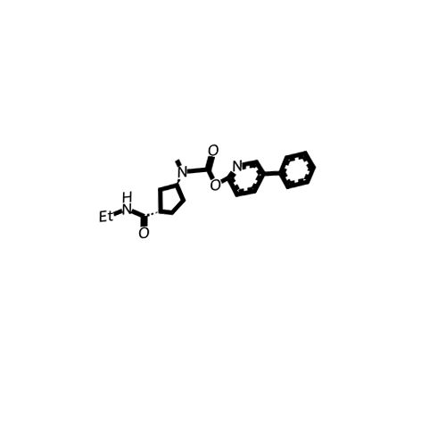 CCNC(=O)[C@H]1CC[C@@H](N(C)C(=O)Oc2ccc(-c3ccccc3)cn2)C1